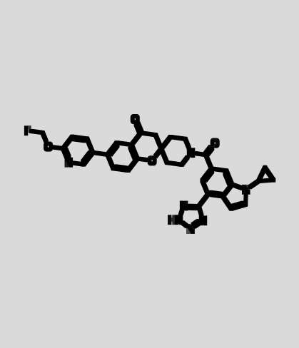 O=C1CC2(CCN(C(=O)c3cc(-c4nn[nH]n4)c4ccn(C5CC5)c4c3)CC2)Oc2ccc(-c3ccc(OCF)nc3)cc21